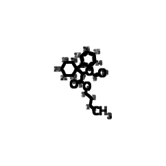 CCCCOC(=O)C(OC=O)C1(c2ccccc2)CCCCC1